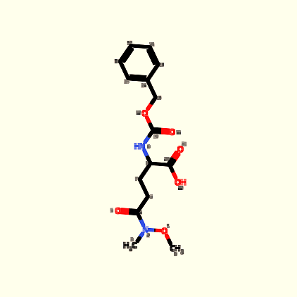 CON(C)C(=O)CCC(NC(=O)OCc1ccccc1)C(=O)O